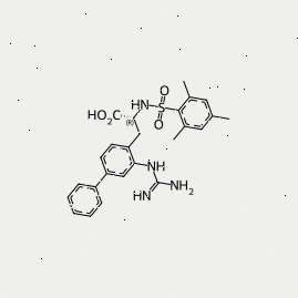 Cc1cc(C)c(S(=O)(=O)N[C@H](Cc2ccc(-c3ccccc3)cc2NC(=N)N)C(=O)O)c(C)c1